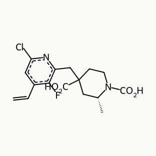 C=Cc1cc(Cl)nc(CC2(C(=O)O)CCN(C(=O)O)[C@H](C)C2)c1F